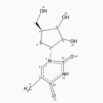 Cc1cn([C@@H]2S[C@@H](CO)C(O)C2O)c(=O)[nH]c1=O